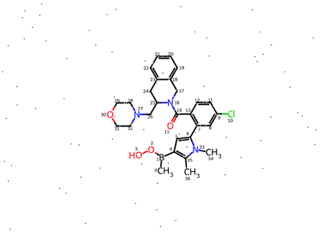 CB(OO)c1cc(-c2cc(Cl)ccc2C(=O)N2Cc3ccccc3CC2CN2CCOCC2)n(C)c1C